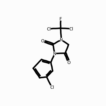 O=C1CN(C(F)(Cl)Cl)C(=O)N1c1cccc(Cl)c1